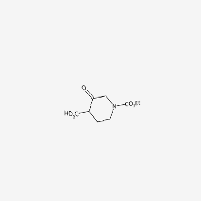 CCOC(=O)N1CCC(C(=O)O)C(=O)C1